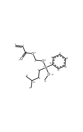 C=CC(=O)OCO[Si](CCC(C)C)(OC)c1ccccc1